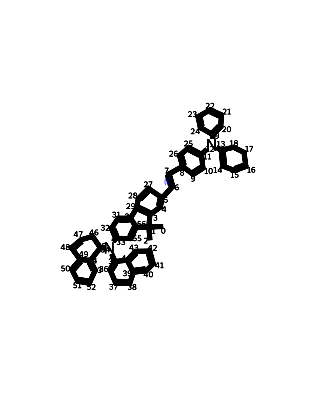 CC1(C)c2cc(/C=C/c3ccc(N(C4=CC=CCC4)c4ccccc4)cc3)ccc2-c2ccc(N(c3cccc4ccccc34)C3CC=Cc4ccccc43)cc21